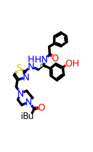 CCC(C)C(=O)N1CCN(Cc2csc(NC[C@@H](NC(=O)Cc3ccccc3)c3cccc(O)c3)n2)CC1